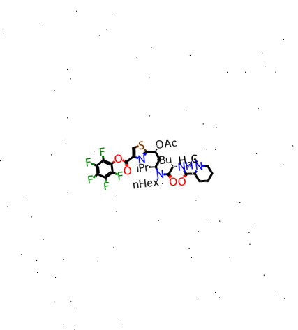 CCCCCCN(C(=O)[C@@H](NC(=O)C1CCCCN1C)[C@@H](C)CC)[C@H](C[C@@H](OC(C)=O)c1nc(C(=O)Oc2c(F)c(F)c(F)c(F)c2F)cs1)C(C)C